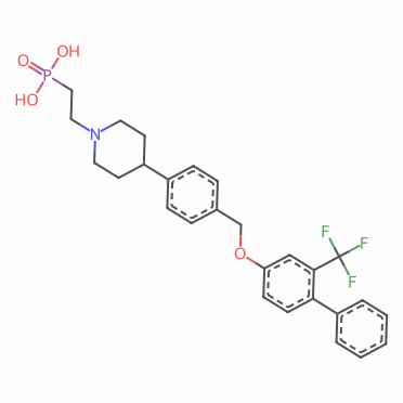 O=P(O)(O)CCN1CCC(c2ccc(COc3ccc(-c4ccccc4)c(C(F)(F)F)c3)cc2)CC1